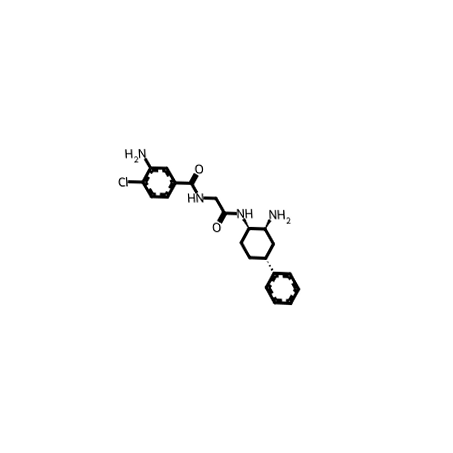 Nc1cc(C(=O)NCC(=O)N[C@@H]2CC[C@@H](c3ccccc3)C[C@@H]2N)ccc1Cl